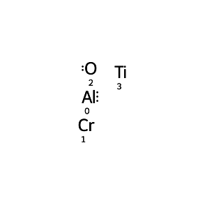 [Al].[Cr].[O].[Ti]